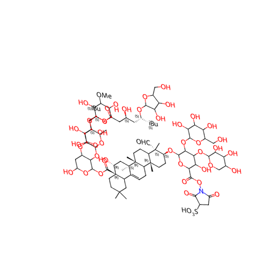 CC[C@H](C)[C@H](C[C@H](O)CC(=O)OC1CC(O)OC(OC(=O)[C@]23CCC(C)(C)CC2C2=CCC4[C@@]5(C)CC[C@H](OC6OC(C(=O)ON7C(=O)CC(S(=O)(=O)O)C7=O)C(O)C(OC7OCC(O)C(O)C7O)C6OC6OC(CO)C(O)C(O)C6O)[C@@](C)(C=O)C5CC[C@@]4(C)[C@]2(C)C[C@H]3O)C1OC1OC(C)C(OC2OCC(O)C(OC)C2O)C(O)C1O)OC(=O)C[C@@H](O)C[C@H](OC1OC(CO)C(O)C1O)[C@@H](C)CC